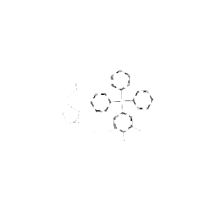 CCC[NH+]1CCN(C)C1.Fc1cc([B-](c2ccccc2)(c2ccccc2)c2ccccc2)cc(F)c1F